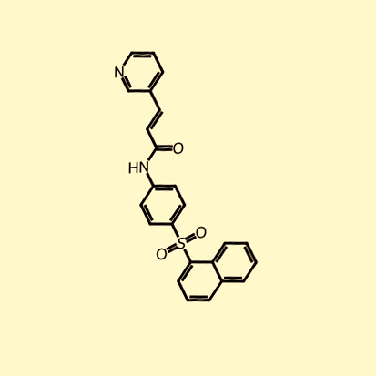 O=C(/C=C/c1cccnc1)Nc1ccc(S(=O)(=O)c2cccc3ccccc23)cc1